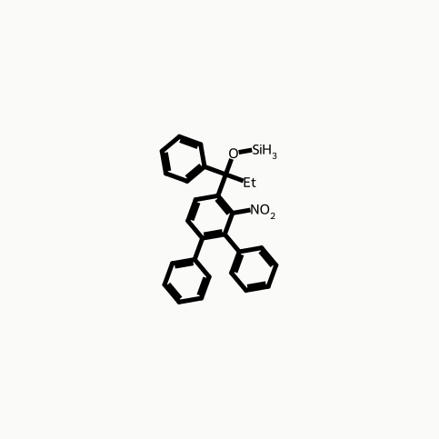 CCC(O[SiH3])(c1ccccc1)c1ccc(-c2ccccc2)c(-c2ccccc2)c1[N+](=O)[O-]